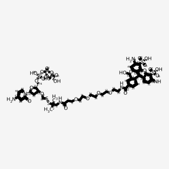 CC(C)(CNC(=O)CCOCCOCCOCCOCCNC(=O)c1ccc(-c2c3ccc(=N)c(S(=O)(=O)O)c-3oc3c(S(=O)(=O)O)c(N)ccc23)c(C(=O)O)c1)SSCOC1C[C@H](n2ccc(N)cc2=O)O[C@@H]1COP(=O)(O)OP(=O)(O)OP(=O)(O)O